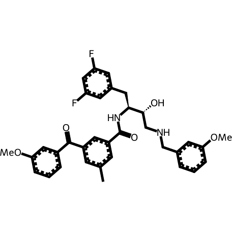 COc1cccc(CNC[C@@H](O)[C@H](Cc2cc(F)cc(F)c2)NC(=O)c2cc(C)cc(C(=O)c3cccc(OC)c3)c2)c1